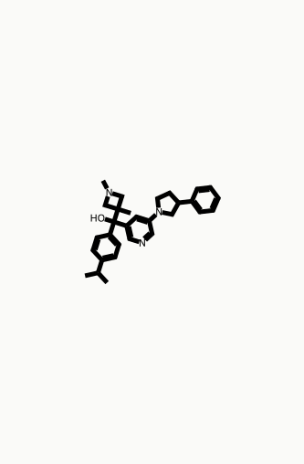 CC(C)c1ccc(C(O)(c2cncc(N3CCC(c4ccccc4)C3)c2)C2(C)CN(C)C2)cc1